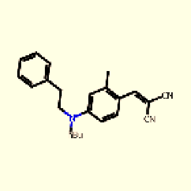 CCCCN(CCc1ccccc1)c1ccc(C=C(C#N)C#N)c(C)c1